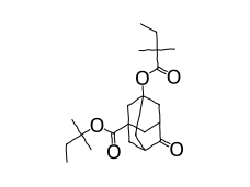 CCC(C)(C)OC(=O)C12CC3CC(OC(=O)C(C)(C)CC)(CC(C1)C3=O)C2